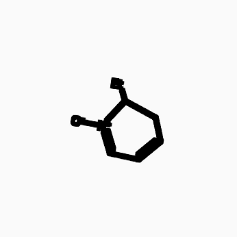 CCC1CC=CC=[N+]1[O-]